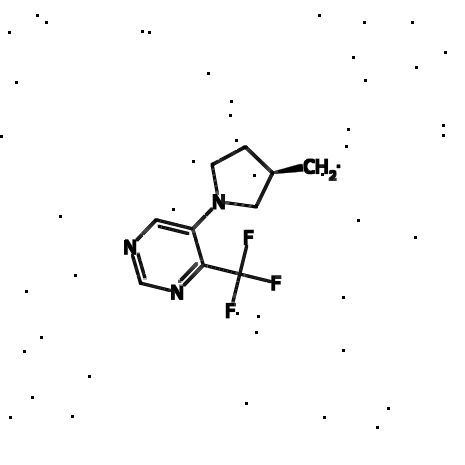 [CH2][C@@H]1CCN(c2cncnc2C(F)(F)F)C1